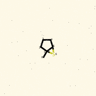 CC12CCCC1S2